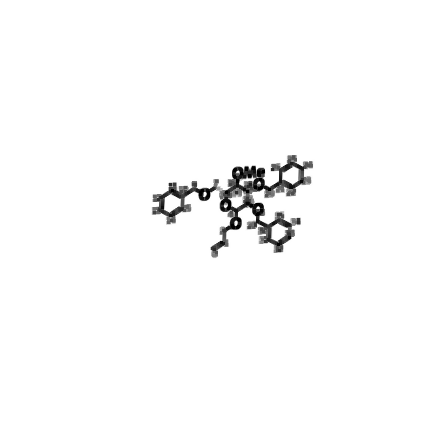 C=CCOC1O[C@H](COCc2ccccc2)[C@@H](OC)[C@H](OCc2ccccc2)[C@H]1OCc1ccccc1